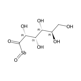 [O]=[Sb][C](=O)[C@H](O)[C@@H](O)[C@H](O)[C@H](O)CO